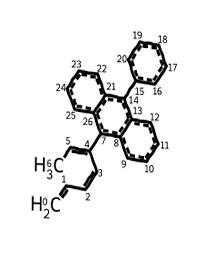 C=C/C=C\C(=C/C)c1c2ccccc2c(-c2ccccc2)c2ccccc12